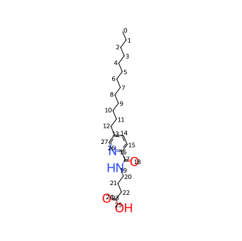 CCCCCCCCCCCCCc1ccc(C(=O)NCCCC(=O)O)nc1